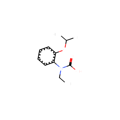 CCN(C(=O)O)c1ccccc1OC(C)C